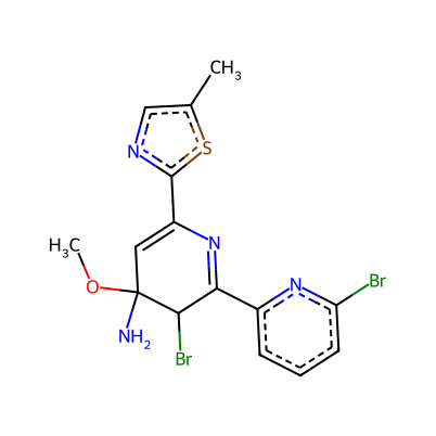 COC1(N)C=C(c2ncc(C)s2)N=C(c2cccc(Br)n2)C1Br